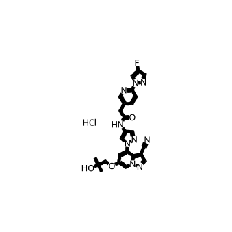 CC(C)(O)COc1cc(-n2cc(NC(=O)Cc3ccc(-n4cc(F)cn4)nc3)cn2)c2c(C#N)cnn2c1.Cl